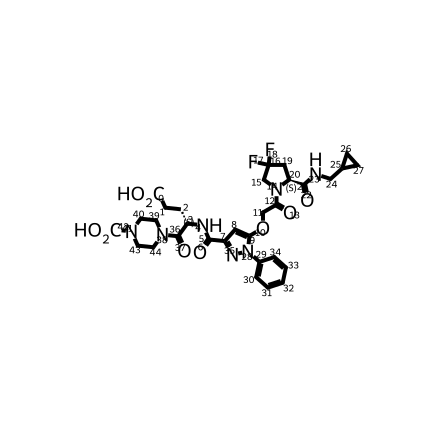 O=C(O)CC[C@H](NC(=O)c1cc(OCC(=O)N2CC(F)(F)C[C@H]2C(=O)NCC2CC2)n(-c2ccccc2)n1)C(=O)N1CCN(C(=O)O)CC1